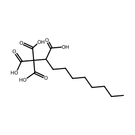 CCCCCCCCC(C(=O)O)C(C(=O)O)(C(=O)O)C(=O)O